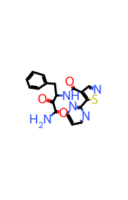 NC(=O)C(=O)C(Cc1ccccc1)NC(=O)c1cnsc1-c1ncccn1